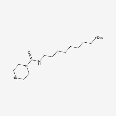 CCCCCCCCCCCCCCCCCCNC(=O)N1CCNCC1